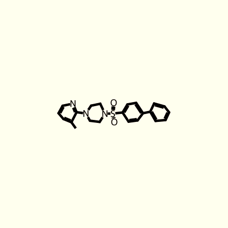 Cc1cccnc1N1CCN(S(=O)(=O)c2ccc(-c3ccccc3)cc2)CC1